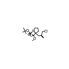 C=C(CCl)CC1(C(=O)OC)CCCN1C(=O)OC(C)(C)C